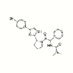 CN(C)C(=O)NC(C(=O)N1CCCC1c1nc(-c2ccc(Br)cc2)c[nH]1)c1ccccc1